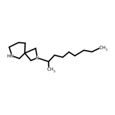 CCCCCCCC(C)N1CC2(CCCNC2)C1